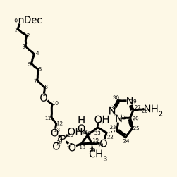 CCCCCCCCCCCCCCCCCCOCCCOP(=O)(O)OC1[C@@]2(C)O[C@@H](c3ccc4c(N)ncnn34)[C@H](O)[C@@]12O